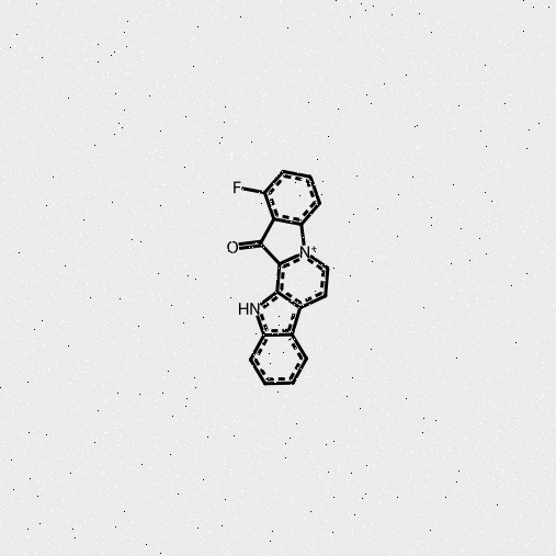 O=C1c2c(F)cccc2-[n+]2ccc3c([nH]c4ccccc43)c21